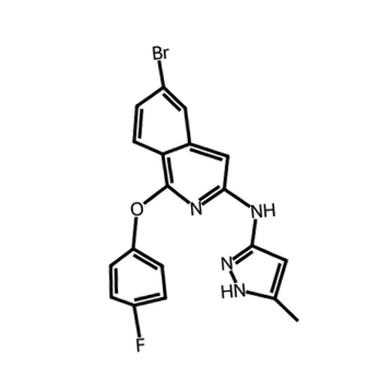 Cc1cc(Nc2cc3cc(Br)ccc3c(Oc3ccc(F)cc3)n2)n[nH]1